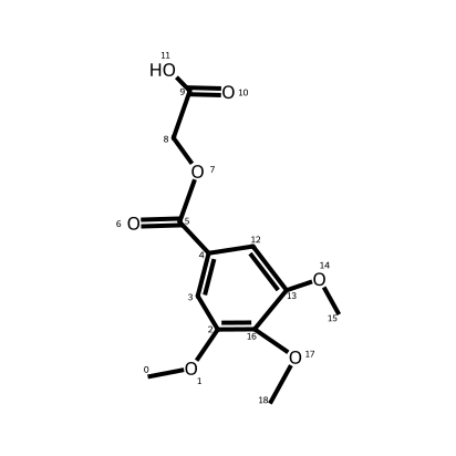 COc1cc(C(=O)OCC(=O)O)cc(OC)c1OC